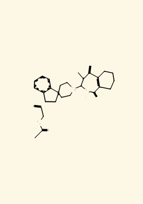 C=C1C2=C(CCCC2)C(=O)NC(N2CCC3(CC2)C[C@H](C(=O)CNC(C)=O)c2ccccc23)C1C